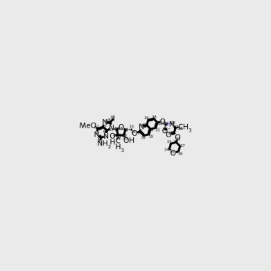 COc1nc(N)nc2c1nc(I)n2[C@@H]1O[C@H](COc2ccc3cc(O/[P+]([O-])=N/[C@@H](C)C(=O)OC4CCOCC4)ccc3n2)[C@@H](O)[C@@]1(C)O